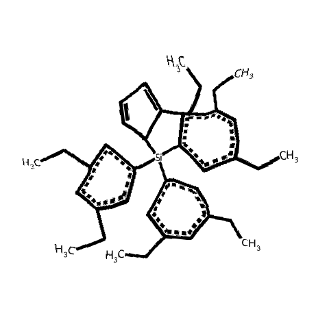 CCCC1=CC=C[C]1[Si](c1cc(CC)cc(CC)c1)(c1cc(CC)cc(CC)c1)c1cc(CC)cc(CC)c1